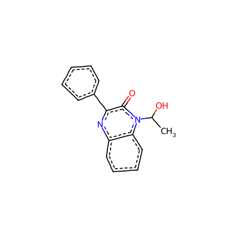 CC(O)n1c(=O)c(-c2ccccc2)nc2ccccc21